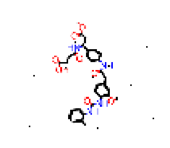 COC(=O)CC(NC(=O)CCC(=O)O)c1ccc(NC(=O)Cc2ccc(NC(=O)Nc3ccccc3C)c(OC)c2)cc1